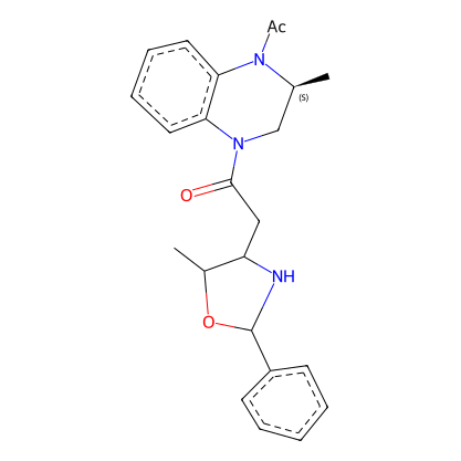 CC(=O)N1c2ccccc2N(C(=O)CC2NC(c3ccccc3)OC2C)C[C@@H]1C